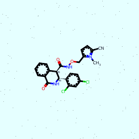 Cn1c(C#N)ccc1CONC(=O)[C@@H]1c2ccccc2C(=O)N[C@H]1c1ccc(Cl)cc1Cl